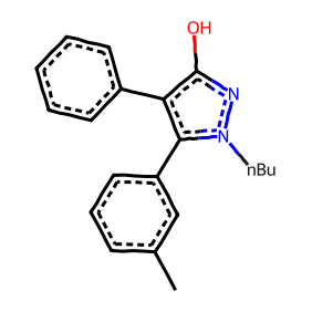 CCCCn1nc(O)c(-c2ccccc2)c1-c1cccc(C)c1